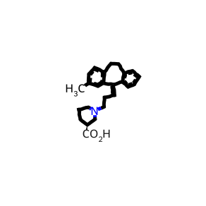 Cc1ccc2c(c1)C(=CCCN1CCC[C@@H](C(=O)O)C1)c1ccccc1CC2